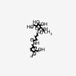 CC(=O)NC1C(OCCCCC(=O)NCC2CCC(OI)C(CO)O2)OC(CO)C(O)C1O